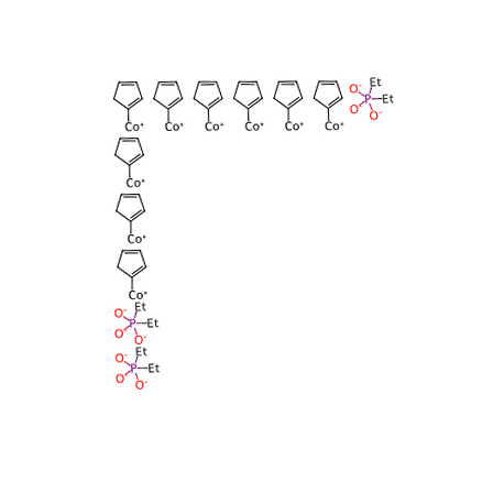 CCP([O-])([O-])([O-])CC.CCP([O-])([O-])([O-])CC.CCP([O-])([O-])([O-])CC.[Co+][C]1=CC=CC1.[Co+][C]1=CC=CC1.[Co+][C]1=CC=CC1.[Co+][C]1=CC=CC1.[Co+][C]1=CC=CC1.[Co+][C]1=CC=CC1.[Co+][C]1=CC=CC1.[Co+][C]1=CC=CC1.[Co+][C]1=CC=CC1